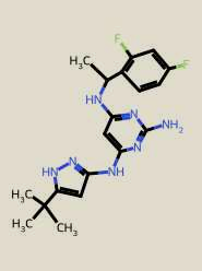 CC(Nc1cc(Nc2cc(C(C)(C)C)[nH]n2)nc(N)n1)c1ccc(F)cc1F